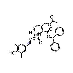 CC(=O)OCC1=C(C(=O)OC(c2ccccc2)c2ccccc2)N2C(=O)[C@@H](/N=C/c3cc(C)c(O)c(C)c3)[C@H]2SC1